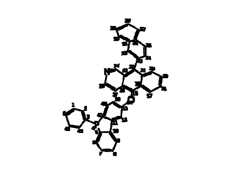 c1ccc(-p2c3ccccc3c3cc(Oc4c5ccccc5c(-c5ccc6ccccc6c5)c5cnccc45)ccc32)cc1